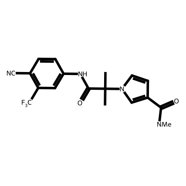 CNC(=O)c1ccn(C(C)(C)C(=O)Nc2ccc(C#N)c(C(F)(F)F)c2)c1